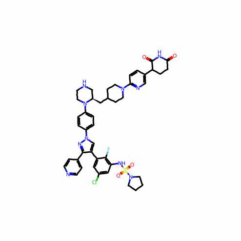 O=C1CCC(c2ccc(N3CCC(C[C@@H]4CNCCN4c4ccc(-n5cc(-c6cc(Cl)cc(NS(=O)(=O)N7CCCC7)c6F)c(-c6ccncc6)n5)cc4)CC3)nc2)C(=O)N1